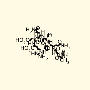 CC(C)C[C@H](NC(=O)[C@@H]1CCCN1C(=O)[C@H](CCC(N)=O)NC(=O)CNC(=O)[C@H](C)N)C(=O)N[C@@H](CCC(N)=O)C(=O)N[C@@H](CCC(=O)O)C(=O)N[C@@H](CCCNC(=N)N)C(=O)O